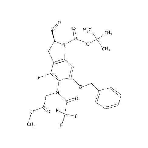 COC(=O)CN(C(=O)C(F)(F)F)c1c(OCc2ccccc2)cc2c(c1F)C[C@@H](C=O)N2C(=O)OC(C)(C)C